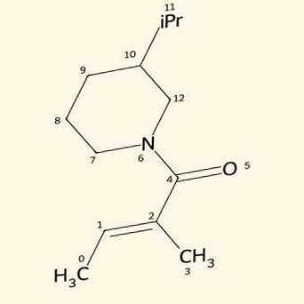 CC=C(C)C(=O)N1CCCC(C(C)C)C1